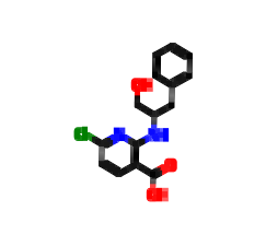 O=C(O)c1ccc(Cl)nc1NC(CO)Cc1ccccc1